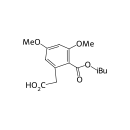 CCC(C)OC(=O)c1c(CC(=O)O)cc(OC)cc1OC